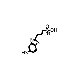 O=S(=O)(O)CCCc1nc2cc(S)ccc2s1